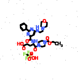 CCOC(=O)N1CCN(C(=O)C(CCC(=O)O)NC(=O)c2cc(NCCN3CCOCC3)nc(-c3ccccc3)n2)CC1.O=S(=O)(O)C(F)(F)F